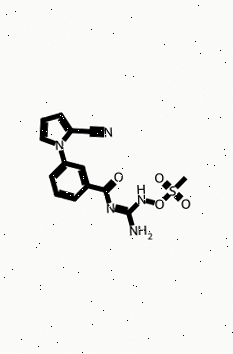 CS(=O)(=O)ONC(N)=NC(=O)c1cccc(-n2cccc2C#N)c1